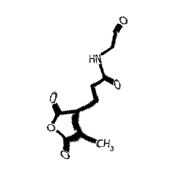 CC1=C(CCC(=O)NCC=O)C(=O)OC1=O